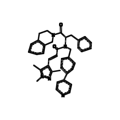 Cc1nn(C)c(C)c1C=CC(=O)N(Cc1ccc(-c2ccncc2)cc1)C(Cc1ccccc1)C(=O)N1CCc2ccccc2C1